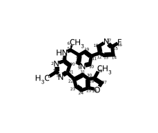 Cc1nc(N[C@@H](C)c2cncc(-c3ccc(F)nc3)c2)cc(-c2ccc3occ(C)c3c2)n1